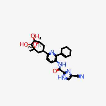 CC12CC(c3ccc(NC(=O)c4nc(C#N)c[nH]4)c(C4=CCCCC4)n3)C[C@](C)(O1)C(O)[C@@H]2O